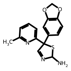 Cc1cccc(C2(c3ccc4c(c3)OCO4)C=NC(N)S2)n1